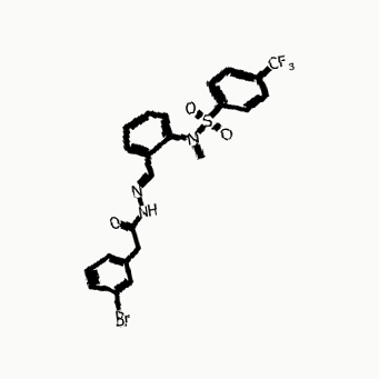 CN(c1ccccc1C=NNC(=O)Cc1cccc(Br)c1)S(=O)(=O)c1ccc(C(F)(F)F)cc1